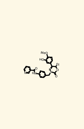 CCC1OC(=O)N(Cc2ccc(NC(=O)c3cccnc3)cc2)N=C1c1ccc(OC)c(O)c1